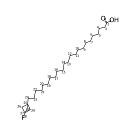 O=C(O)CCCCCCCCCCCCCCCCCCCCCCC12CC(F)(C1)C2